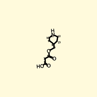 O=C(O)CC(=O)OCC1CCNCC1